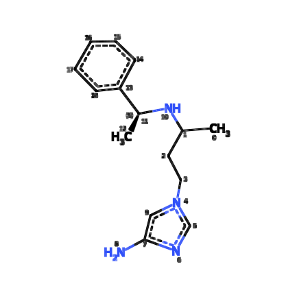 CC(CCn1cnc(N)c1)N[C@@H](C)c1ccccc1